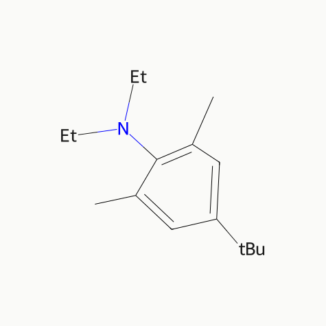 CCN(CC)c1c(C)cc(C(C)(C)C)cc1C